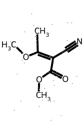 COC(=O)C(C#N)=C(C)OC